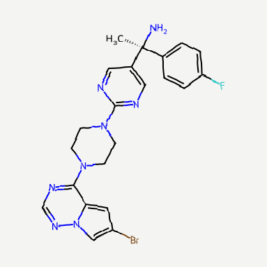 C[C@](N)(c1ccc(F)cc1)c1cnc(N2CCN(c3ncnn4cc(Br)cc34)CC2)nc1